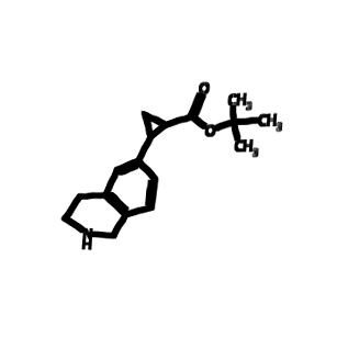 CC(C)(C)OC(=O)C1CC1c1ccc2c(c1)CCNC2